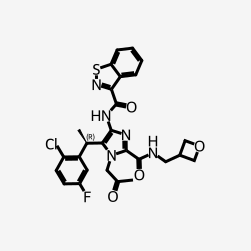 CC(=O)Cn1c(C(=O)NCC2COC2)nc(NC(=O)c2nsc3ccccc23)c1[C@H](C)c1cc(F)ccc1Cl